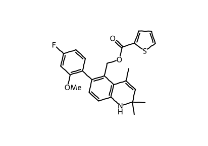 COc1cc(F)ccc1-c1ccc2c(c1COC(=O)c1cccs1)C(C)=CC(C)(C)N2